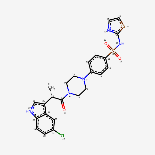 C[C@H](C(=O)N1CCN(c2ccc(S(=O)(=O)Nc3nccs3)cc2)CC1)c1c[nH]c2ccc(Cl)cc12